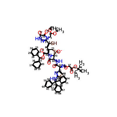 COC(Cn1c(C(S)=CC2=C(C(=O)OC(c3ccccc3)c3ccccc3)N3C(=O)C(NC(=O)C(=NOCC(=O)OC(C)(C)C)c4csc(NC(c5ccccc5)(c5ccccc5)c5ccccc5)n4)C3[S+]([O-])C2)n[nH]c(=O)c1=O)OC